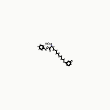 Cc1cccc(CCCCCCCCCC/C(=N/O)C(=O)OCc2ccccc2)c1